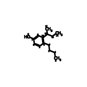 CCCCc1ccc(O)cc1C(C)CC